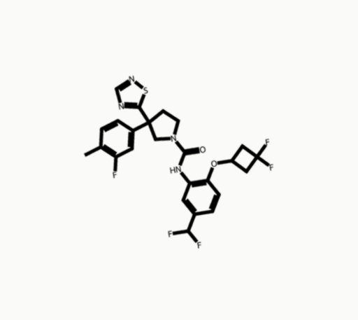 Cc1ccc(C2(c3ncns3)CCN(C(=O)Nc3cc(C(F)F)ccc3OC3CC(F)(F)C3)C2)cc1F